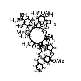 CCC1OC(=O)C(C)[C@@H](OC2CC(C)(OC)[C@@H](O)C(C)O2)[C@H](C)[C@@H](O[C@@H]2OC(C)CC(N(C)C)[C@H]2O)C(C)(OC)C[C@@H](C)C(=O)[C@H](C)[C@H]2C(SCCN(Cc3ccncc3)c3ccc(OC)c(OC4CCCC4)c3)OCO[C@]12C